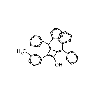 Cc1cc(C2=C(O)C(=C(c3ccccc3)c3ccccc3)C2=C(c2ccccc2)c2ccccc2)ccn1